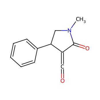 CN1CC(c2ccccc2)C(=C=O)C1=O